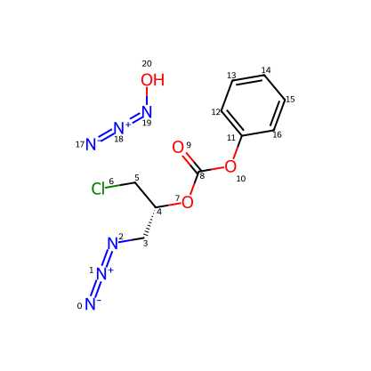 [N-]=[N+]=NC[C@H](CCl)OC(=O)Oc1ccccc1.[N-]=[N+]=NO